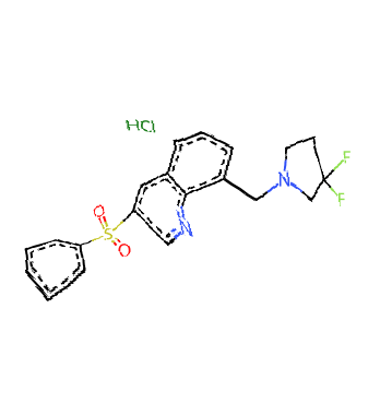 Cl.O=S(=O)(c1ccccc1)c1cnc2c(CN3CCC(F)(F)C3)cccc2c1